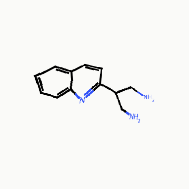 NCC(CN)c1ccc2ccccc2n1